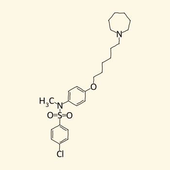 CN(c1ccc(OCCCCCCN2CCCCCC2)cc1)S(=O)(=O)c1ccc(Cl)cc1